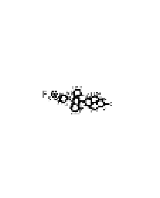 Cc1cc2ccc3cc(-c4c5ccccc5c(-c5ccc(OC(F)(F)F)cc5)c5ccccc45)cc4ccc(c1)c2c34